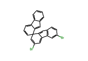 BrC1=CC2(C=CC=C3C2=Cc2ccccc23)C2=Cc3ccc(Br)cc3C2=C1